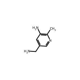 Cc1ncc(CN)cc1N